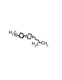 COc1ccc(N2CCN(CCCC(C)C)CC2)cc1